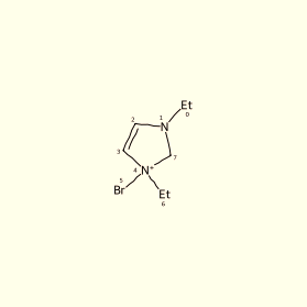 CCN1C=C[N+](Br)(CC)C1